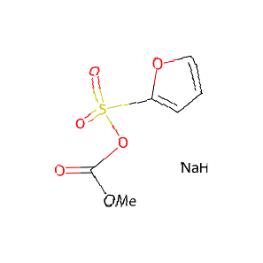 COC(=O)OS(=O)(=O)c1ccco1.[NaH]